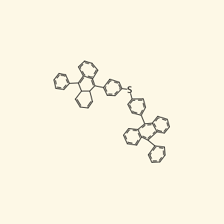 C1=CC2C(c3ccccc3)=c3ccccc3=C(c3ccc(Sc4ccc(-c5c6ccccc6c(-c6ccccc6)c6ccccc56)cc4)cc3)C2C=C1